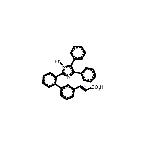 CCn1c(-c2ccccc2-c2cccc(/C=C/C(=O)O)c2)nc(-c2ccccc2)c1-c1ccccc1